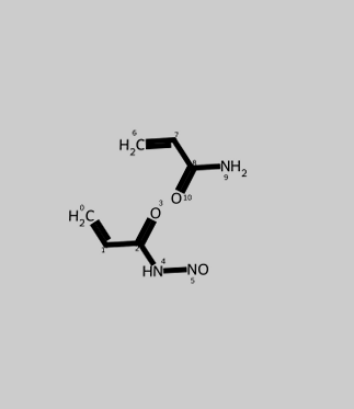 C=CC(=O)NN=O.C=CC(N)=O